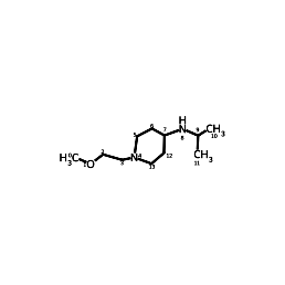 COCCN1CCC(NC(C)C)CC1